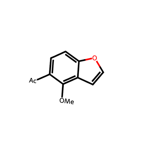 COc1c(C(C)=O)ccc2occc12